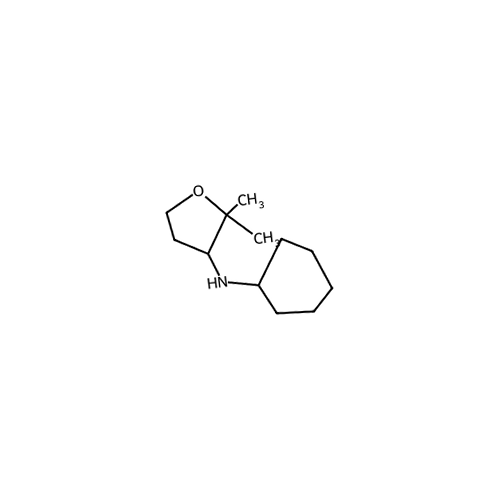 CC1(C)OCCC1NC1CCCCC1